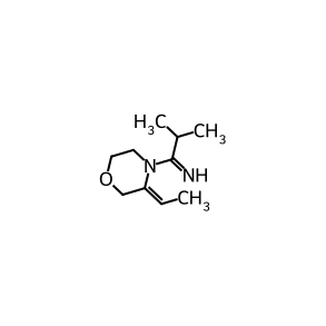 C/C=C1/COCCN1C(=N)C(C)C